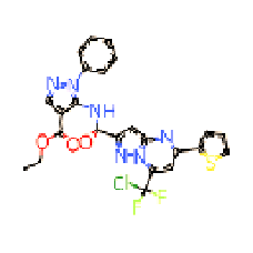 CCOC(=O)c1cnn(-c2ccccc2)c1NC(=O)c1cc2nc(-c3cccs3)cc(C(F)(F)Cl)n2n1